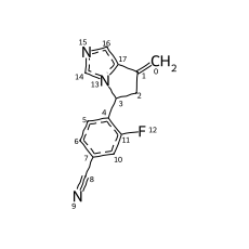 C=C1CC(c2ccc(C#N)cc2F)n2cncc21